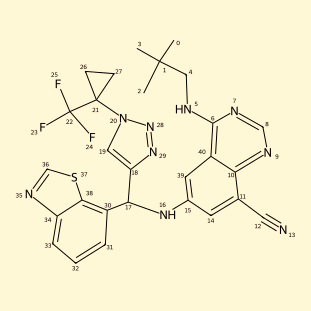 CC(C)(C)CNc1ncnc2c(C#N)cc(NC(c3cn(C4(C(F)(F)F)CC4)nn3)c3cccc4ncsc34)cc12